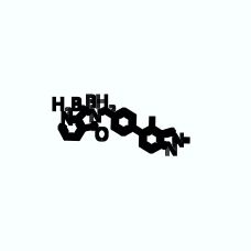 BC1(B)c2ncccc2C(=O)N1Cc1ccc(-c2ccc3nn(C)cc3c2C)cc1